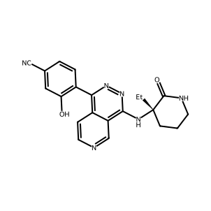 CC[C@]1(Nc2nnc(-c3ccc(C#N)cc3O)c3ccncc23)CCCNC1=O